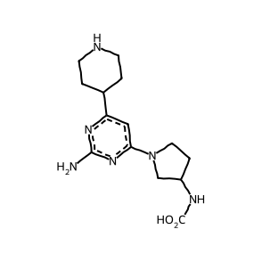 Nc1nc(C2CCNCC2)cc(N2CCC(NC(=O)O)C2)n1